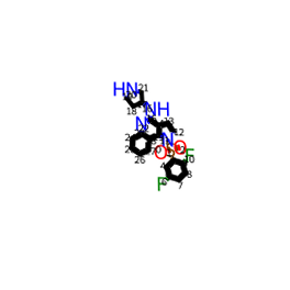 O=S(=O)(c1cc(F)ccc1F)n1ccc2c(NC3CCNC3)nc3ccccc3c21